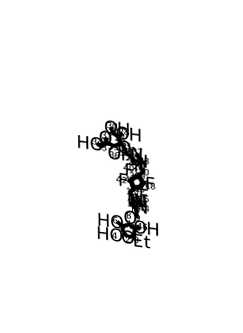 CCC1OC(O)C(O)C(OCc2cn(Cc3c(F)c(F)c(Cn4cc(COC5C(O)C(O)OC(CO)C5O)nn4)c(F)c3F)nn2)C1O